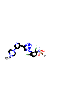 CCCS(=O)(=O)Nc1ccc(F)c(-n2cc(-c3cncc(N4CCN(C(C)(C)C)CC4)c3)nn2)c1Cl